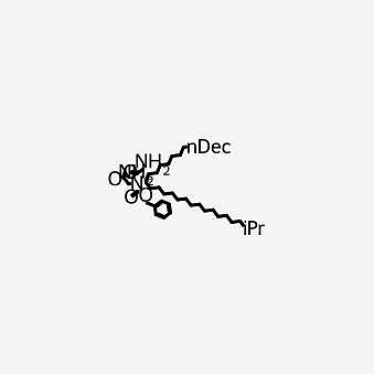 CCCCCCCCCCCCCCCCCC(CCCCCCCCCCCCCCC(C)C)[N+](CC(N)=O)(C(=O)CN)C(=O)OCc1ccccc1